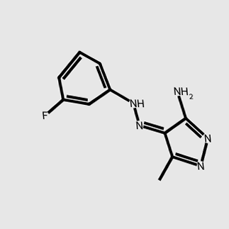 CC1=NN=C(N)C1=NNc1cccc(F)c1